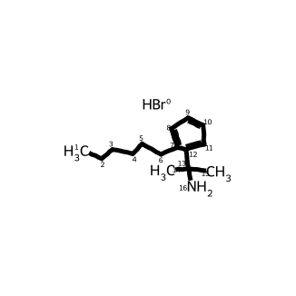 Br.CCCCCCc1ccccc1C(C)(C)N